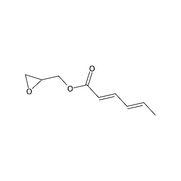 CC=CC=CC(=O)OCC1CO1